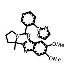 COc1cc2nc(C3(C)CCCN3C(=O)c3ccccc3-n3nccn3)[nH]c2cc1OC